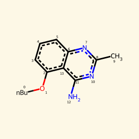 CCCCOc1cccc2nc(C)nc(N)c12